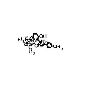 Cc1ccc(-c2cnc(C3C(O)CCCN3C(=O)C(C)S(C)(=O)=O)[nH]2)cc1